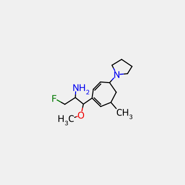 COC(C1=CC(C)CC(N2CCCC2)C=C1)C(N)CF